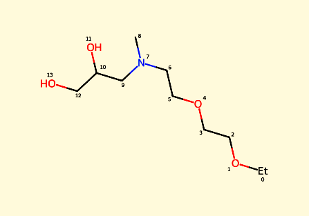 [CH2]COCCOCCN(C)CC(O)CO